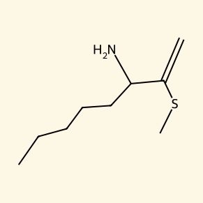 C=C(SC)C(N)CCCCC